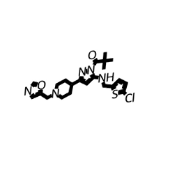 CC(C)(C)C(=O)n1nc(C2CCN(Cc3cnco3)CC2)cc1NCc1ccc(Cl)s1